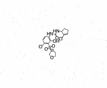 O=C(Nc1ccc(Cl)c(S(=O)(=O)[C@H]2CCOC2)c1O)NC1CCC=C1Cl